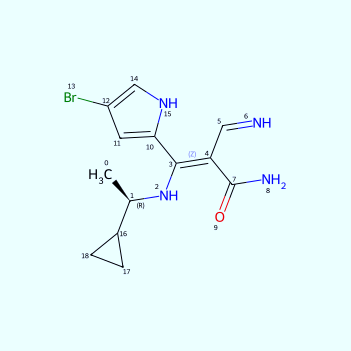 C[C@@H](N/C(=C(/C=N)C(N)=O)c1cc(Br)c[nH]1)C1CC1